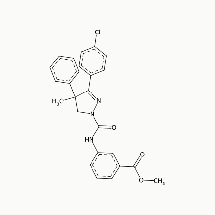 COC(=O)c1cccc(NC(=O)N2CC(C)(c3ccccc3)C(c3ccc(Cl)cc3)=N2)c1